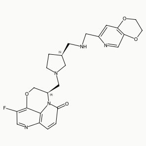 O=c1ccc2ncc(F)c3c2n1[C@H](CN1CC[C@@H](CNCc2cc4c(cn2)OCCO4)C1)CO3